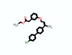 CCOC(=O)Cc1cccc(OCC=C(C)c2ccc(-c3ccc(Br)cc3)cc2)c1